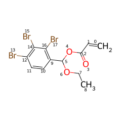 C=CC(=O)OC(OCC)c1ccc(Br)c(Br)c1Br